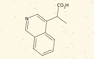 CC(C(=O)O)c1cncc2ccccc12